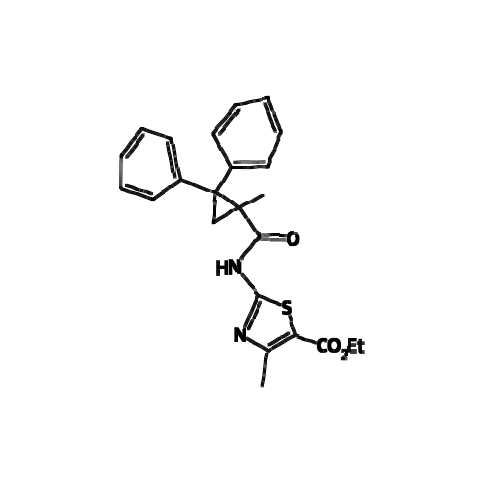 CCOC(=O)c1sc(NC(=O)C2(C)CC2(c2ccccc2)c2ccccc2)nc1C